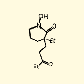 CCC(=O)CC[C@@]1(CC)CCCN(O)C1=O